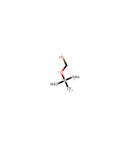 CO[Si](OC)(OCS)C(F)(F)F